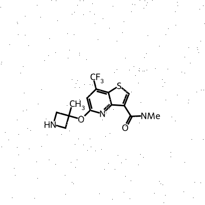 CNC(=O)c1csc2c(C(F)(F)F)cc(OC3(C)CNC3)nc12